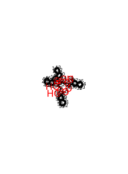 O=C(OCC(O)COc1ccc2ccccc2c1Cc1c(OCC(O)COC(=O)c2cc3ccccc3cc2O)ccc2ccccc12)c1cc2ccccc2cc1O